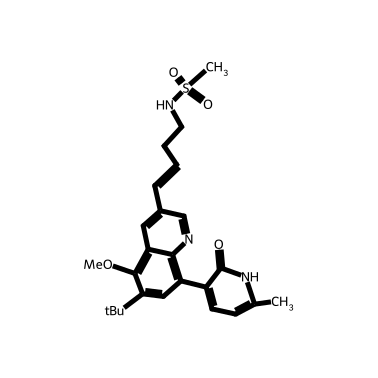 COc1c(C(C)(C)C)cc(-c2ccc(C)[nH]c2=O)c2ncc(C=CCCNS(C)(=O)=O)cc12